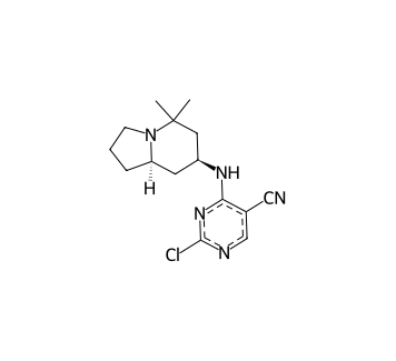 CC1(C)C[C@@H](Nc2nc(Cl)ncc2C#N)C[C@H]2CCCN21